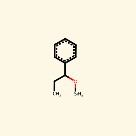 CCC(O[SiH3])c1ccccc1